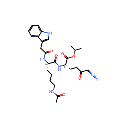 CC(=O)NCCCC[C@H](NC(=O)Cc1c[nH]c2ccccc12)C(=O)N[C@@H](CCC(=O)C=[N+]=[N-])C(=O)OC(C)C